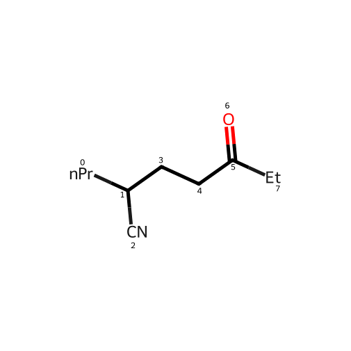 CCCC(C#N)CCC(=O)CC